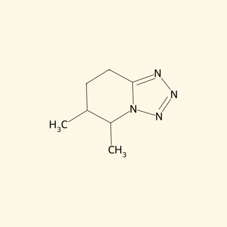 CC1CCc2nnnn2C1C